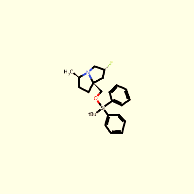 C[C@@H]1CC[C@@]2(CO[Si](c3ccccc3)(c3ccccc3)C(C)(C)C)C[C@@H](F)CN12